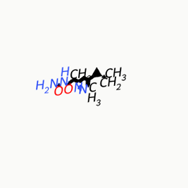 C=C(C(=O)NC(N)=O)c1cc(C2C[C@@H]2C(=C)C)c(C)nn1